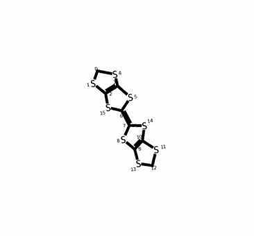 C1SC2=C(S1)SC(=C1SC3=C(SCS3)S1)S2